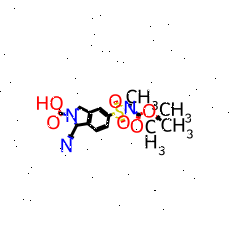 CN(C(=O)OC(C)(C)C)S(=O)(=O)c1ccc2c(c1)CN(C(=O)O)C2C#N